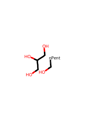 CCCCCCO.OCC(O)CO